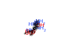 CCOC(=O)CC[C@@H](NC(=O)c1ccc(C(CN)c2c[nH]c3nc(N)nc(O)c23)cc1)C(=O)OCC